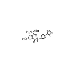 Cc1ncsc1-c1ccc(CNC(=O)C2C[C@H](O)CN2C(=O)C(N)C(C)(C)C)cc1